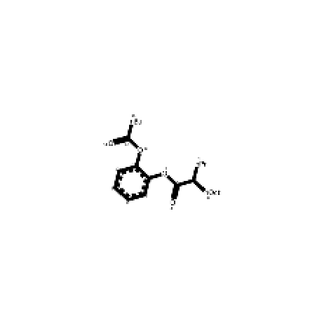 CCCCCCCCC(CCC)C(=O)Oc1ccccc1OC(=O)CCCC